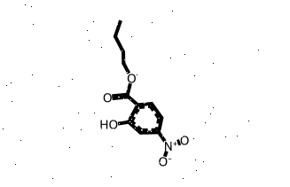 CCCCOC(=O)c1ccc([N+](=O)[O-])cc1O